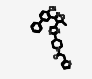 Cc1onc(-c2cc(-c3ccccc3)ccc2C#N)c1-c1csc(C2CCN(C(=O)Cc3cccs3)CC2)n1